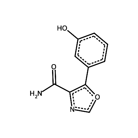 NC(=O)c1ncoc1-c1cccc(O)c1